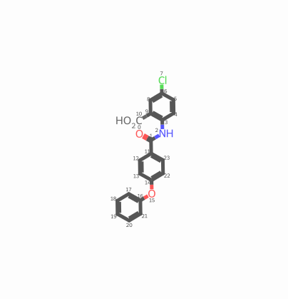 O=C(Nc1ccc(Cl)cc1C(=O)O)c1ccc(Oc2ccccc2)cc1